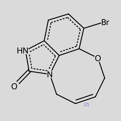 O=c1[nH]c2ccc(Br)c3c2n1C/C=C\CO3